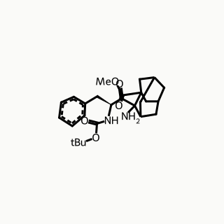 COC(=O)C12CC3CC(CC(C3)C1(N)C(=O)[C@H](Cc1ccccc1)NC(=O)OC(C)(C)C)C2